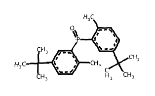 Cc1ccc(C(C)(C)C)cc1[P](=O)c1cc(C(C)(C)C)ccc1C